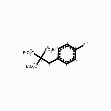 CCOC(=O)C(Cc1ccc(F)cc1)(C(=O)OCC)C(=O)OCC